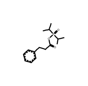 CC(C)P(=O)(OC(=O)CCc1ccccc1)C(C)C